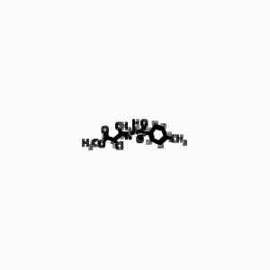 COC(=O)C(Cl)/C(C)=N/NS(=O)(=O)c1ccc(C)cc1